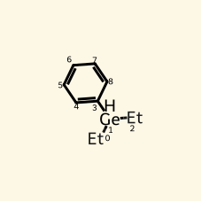 C[CH2][GeH]([CH2]C)[c]1ccccc1